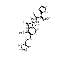 CO[C@@]1(NC(=O)C(=S=O)c2cccs2)C(=O)N2C(C(=O)O)=C(CSc3nnn[nH]3)CS[C@@H]21